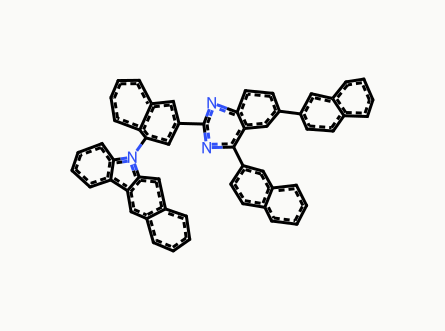 c1ccc2cc(-c3ccc4nc(-c5cc(-n6c7ccccc7c7cc8ccccc8cc76)c6ccccc6c5)nc(-c5ccc6ccccc6c5)c4c3)ccc2c1